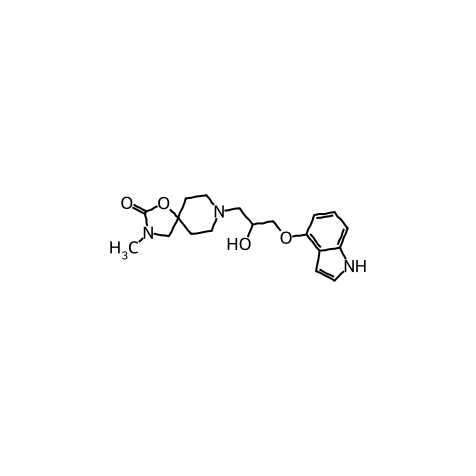 CN1CC2(CCN(CC(O)COc3cccc4[nH]ccc34)CC2)OC1=O